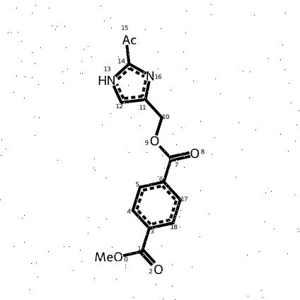 COC(=O)c1ccc(C(=O)OCc2c[nH]c(C(C)=O)n2)cc1